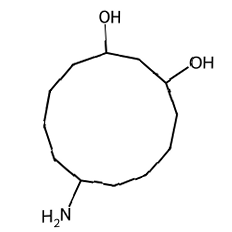 NC1CCCCC(O)CC(O)CCCC1